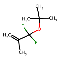 C=C(C)C(F)(F)OC(C)(C)C